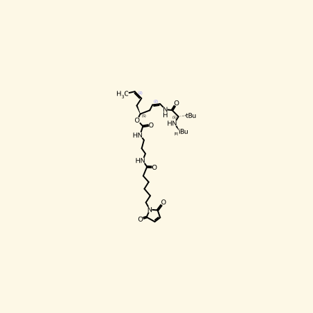 C/C=C\C[C@@H](C/C=C\NC(=O)[C@@H](N[C@H](C)CC)C(C)(C)C)OC(=O)NCCCNC(=O)CCCCCN1C(=O)C=CC1=O